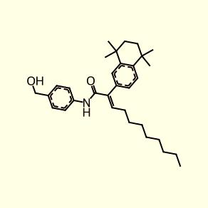 CCCCCCCC/C=C(/C(=O)Nc1ccc(CO)cc1)c1ccc2c(c1)C(C)(C)CCC2(C)C